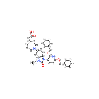 Cn1c(=O)n(-c2ccc(OCc3ccccc3)nc2OCc2ccccc2)c2ccc(N3CCCC(CC(=O)O)CC3)cc21